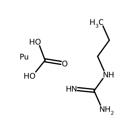 CCCNC(=N)N.O=C(O)O.[Pu]